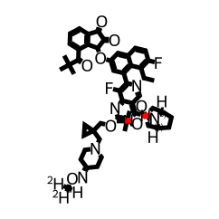 [2H]C([2H])([2H])ON=C1CCN(CC2(COc3nc(N4C[C@H]5CC[C@@H](C4)N5C(=O)OC(C)(C)C)c4cnc(-c5cc(OC6C(=O)C(=O)c7cccc(C(=O)C(C)(C)C)c76)cc6ccc(F)c(CC)c56)c(F)c4n3)CC2)CC1